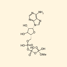 COP(=O)(O)OP(=O)(O)OP(=O)(O)OC[C@H]1O[C@@H](n2cnc3c(N)ncnc32)[C@@H](O)C1O